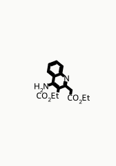 CCOC(=O)Cc1nc2ccccc2c(N)c1C(=O)OCC